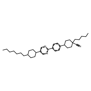 CCCCCCCC1CCC(c2cnc(-c3ccc(C4CCC(C#N)(CCCCC)CC4)cc3)nc2)CC1